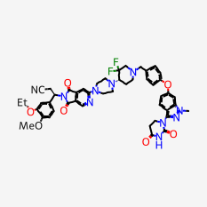 CCOc1cc([C@@H](CC#N)N2C(=O)c3cnc(N4CCN([C@H]5CCN(Cc6ccc(Oc7ccc8c(N9CCC(=O)NC9=O)nn(C)c8c7)cc6)CC5(F)F)CC4)cc3C2=O)ccc1OC